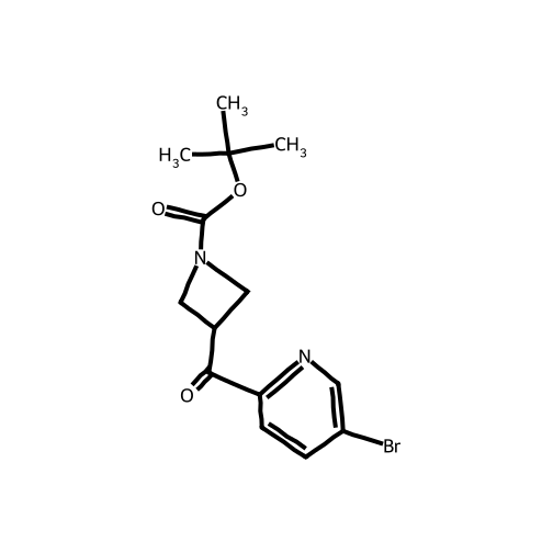 CC(C)(C)OC(=O)N1CC(C(=O)c2ccc(Br)cn2)C1